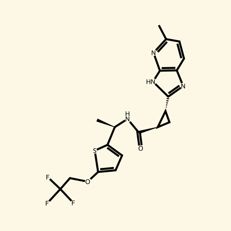 Cc1ccc2nc([C@@H]3C[C@H]3C(=O)N[C@H](C)c3ccc(OCC(F)(F)F)s3)[nH]c2n1